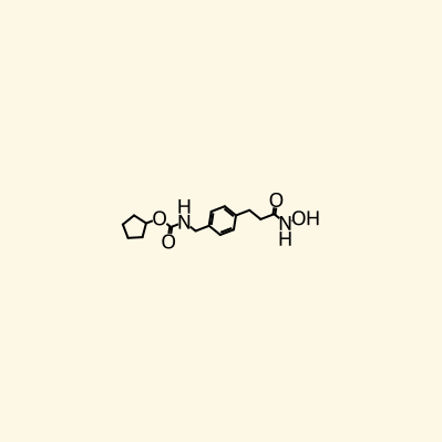 O=C(CCc1ccc(CNC(=O)OC2CCCC2)cc1)NO